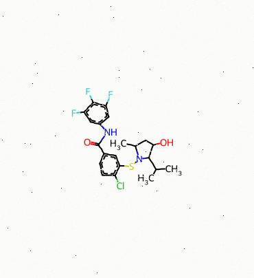 CC(C)C1C(O)CC(C)N1Sc1cc(C(=O)Nc2cc(F)c(F)c(F)c2)ccc1Cl